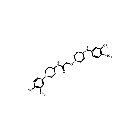 N#Cc1ccc(N2CCC(NC(=O)CO[C@H]3CC[C@H](Nc4ccc([N+](=O)[O-])c(C(F)(F)F)c4)CC3)CC2)cc1C(F)(F)F